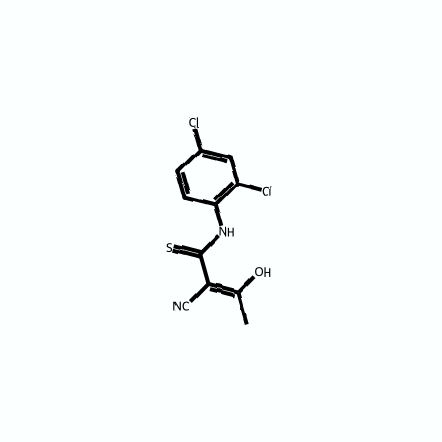 CC(O)=C(C#N)C(=S)Nc1ccc(Cl)cc1Cl